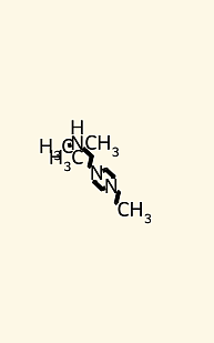 CCCN1CCN(CCC(C)(C)NC)CC1